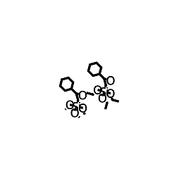 CCO[Si](OCC)(OCC)C1OC1C1CCCCC1.CO[Si](OC)(OC)C1OC1C1CCCCC1